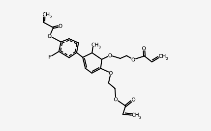 C=CC(=O)OCCOC1=CC=C(c2ccc(OC(=O)C=C)c(F)c2)C(C)C1OCCOC(=O)C=C